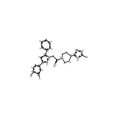 Cc1nnc(C2CCN(C(=O)Cn3nc(-c4ccc(C)c(C)c4)cc3-c3ccccc3)CC2)o1